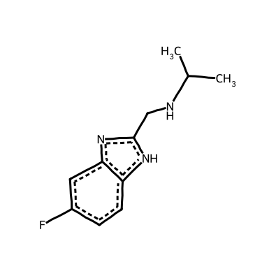 CC(C)NCc1nc2cc(F)ccc2[nH]1